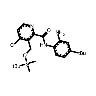 CC(C)(C)c1ccc(NC(=O)c2nccc(Cl)c2CO[Si](C)(C)C(C)(C)C)c(N)c1